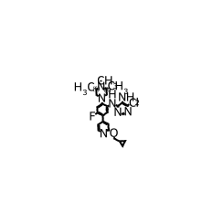 C[C@@H]1CN(c2cc(F)c(-c3ccnc(OCC4CC4)c3)cc2Nc2ncnc(Cl)c2N)C[C@H](C)N1C